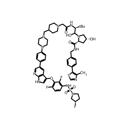 Cc1ncsc1-c1ccc(CNC(=O)[C@@H]2C[C@@H](O)CN2C(O)[C@@H](NC(=O)CN2CCC(CN3CCN(c4ccc(-c5cnc6[nH]cc(Oc7c(F)ccc(NS(=O)(=O)N8CC[C@@H](F)C8)c7F)c6c5)cc4)CC3)CC2)C(C)(C)C)cc1